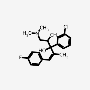 CC(=Cc1ccc(F)cc1)C(O)(c1cccc(Cl)c1)C(C)CN(C)C